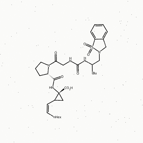 CCCCCC/C=C\C1C[C@]1(NC(=O)[C@@H]1CCCN1C(=O)CNC(=O)NC(CN1Cc2ccccc2S1(=O)=O)C(C)(C)C)C(=O)O